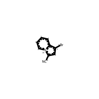 N#Cc1cc(Br)c2ccccn12